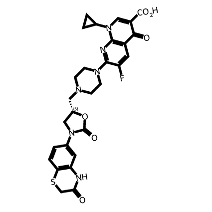 O=C1CSc2ccc(N3C[C@H](CN4CCN(c5nc6c(cc5F)c(=O)c(C(=O)O)cn6C5CC5)CC4)OC3=O)cc2N1